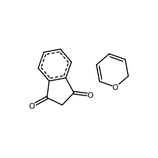 C1=CCOC=C1.O=C1CC(=O)c2ccccc21